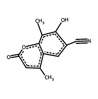 Cc1cc(=O)oc2c(C)c(O)c(C#N)cc12